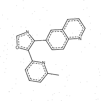 Cc1cccc(-c2ocnc2-c2ccc3ncccc3c2)n1